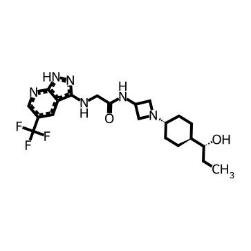 CC[C@@H](O)[C@H]1CC[C@H](N2CC(NC(=O)CNc3n[nH]c4ncc(C(F)(F)F)cc34)C2)CC1